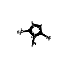 CC(=O)c1cnc(C(F)(F)F)n1C(C)C